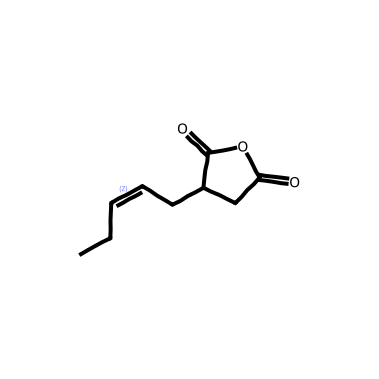 CC/C=C\CC1CC(=O)OC1=O